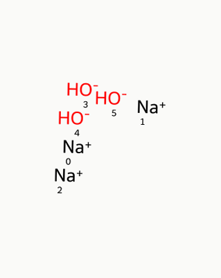 [Na+].[Na+].[Na+].[OH-].[OH-].[OH-]